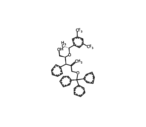 C=C(COC(c1ccccc1)(c1ccccc1)c1ccccc1)C(c1ccccc1)[C@@H](CO)O[C@H](C)c1cc(C(F)(F)F)cc(C(F)(F)F)c1